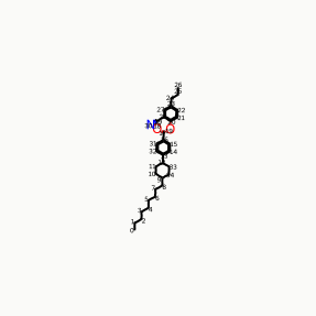 CCCCCCCCCC1CCC(c2ccc(C(=O)Oc3ccc(CCC)cc3C#N)cc2)CC1